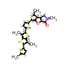 Cc1ccc(-c2sc3c(C)c(-c4ccc(-c5sc(C)c6c7c(oc56)C(=O)N(C)C7)s4)sc3c2C)s1